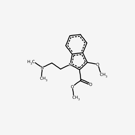 COC(=O)c1c(OC)c2ccccc2n1CCN(C)C